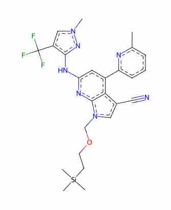 Cc1cccc(-c2cc(Nc3nn(C)cc3C(F)(F)F)nc3c2c(C#N)cn3COCC[Si](C)(C)C)n1